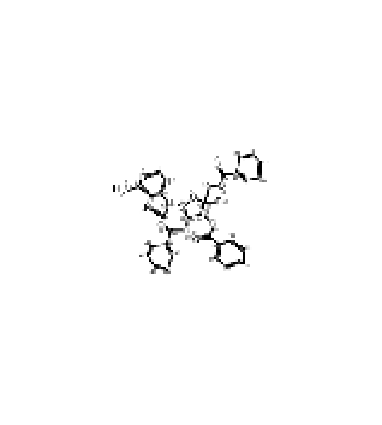 Nc1ncnc2c1ncn2[C@@H]1O[C@](F)(COC(=O)c2ccccc2)[C@@H](OC(=O)c2ccccc2)[C@H]1OC(=O)c1ccccc1